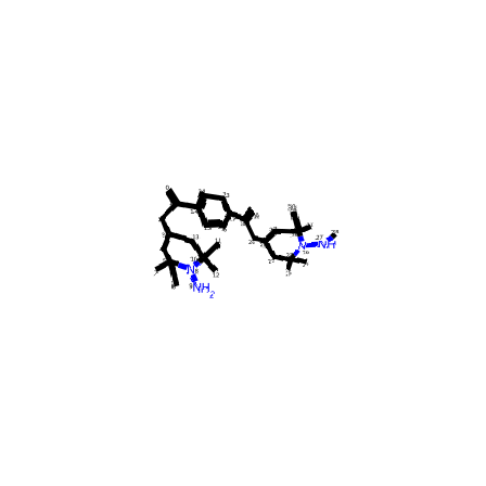 C=C(CC1CC(C)(C)N(N)C(C)(C)C1)c1ccc(C(=C)CC2CC(C)(C)N(NC)C(C)(C)C2)cc1